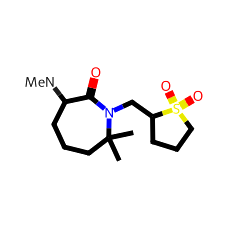 CNC1CCCC(C)(C)N(CC2CCCS2(=O)=O)C1=O